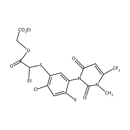 CCOC(=O)COC(=O)C(CC)Sc1cc(-n2c(=O)cc(C(F)(F)F)n(C)c2=O)c(F)cc1Cl